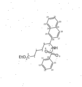 CCOC(=O)CCCCC(NS(=O)(=O)c1ccccc1)c1ccc2ccccc2c1